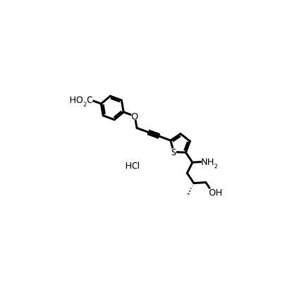 C[C@@H](CO)CC(N)c1ccc(C#CCOc2ccc(C(=O)O)cc2)s1.Cl